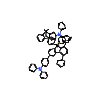 C=Cc1ccc([Si]2(c3cccc(C=C)c3)c3ccc(-c4ccc(N(c5ccccc5)c5ccccc5)cc4)cc3-c3c(-c4ccccc4)ccc(-c4cccc(N(c5ccccc5)c5ccc6c(c5)C(C)(C)c5ccccc5-6)c4)c32)cc1